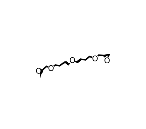 C(=COC=CCCOCC1CO1)CCOCC1CO1